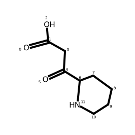 O=C(O)CC(=O)C1CCCCN1